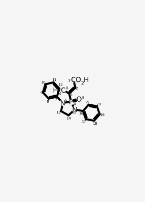 CC(=CC(=O)O)P1(=O)N(c2ccccc2)CCN1c1ccccc1